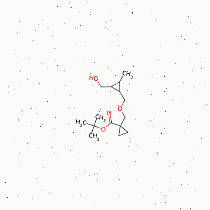 CC1C(CO)C1COCC1(C(=O)OC(C)(C)C)CC1